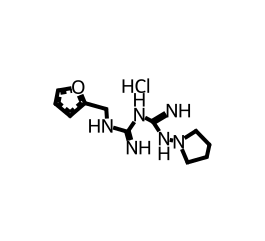 Cl.N=C(NCc1ccco1)NC(=N)NN1CCCC1